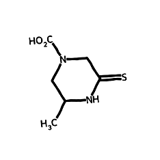 CC1CN(C(=O)O)CC(=S)N1